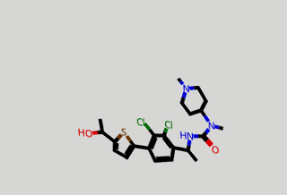 CC(O)c1ccc(-c2ccc(C(C)NC(=O)N(C)C3CCN(C)CC3)c(Cl)c2Cl)s1